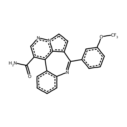 NC(=O)c1cnn2ccc3c2c1-c1ccccc1N=C3c1cccc(OC(F)(F)F)c1